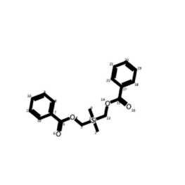 C[Si](C)(COC(=O)c1ccccc1)COC(=O)c1ccccc1